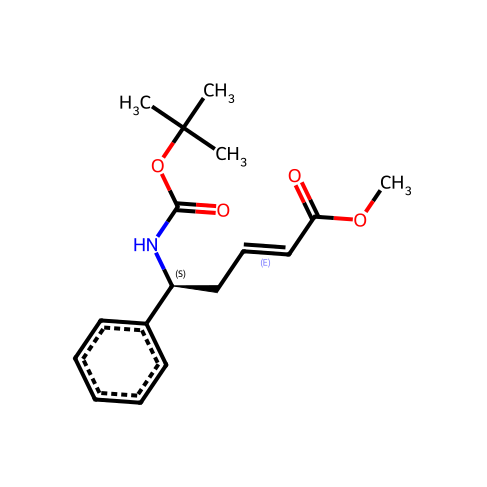 COC(=O)/C=C/C[C@H](NC(=O)OC(C)(C)C)c1ccccc1